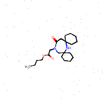 CCCCOC(=O)CN1CC2(CCCCC2)NC2(CCCCC2)CC1=O